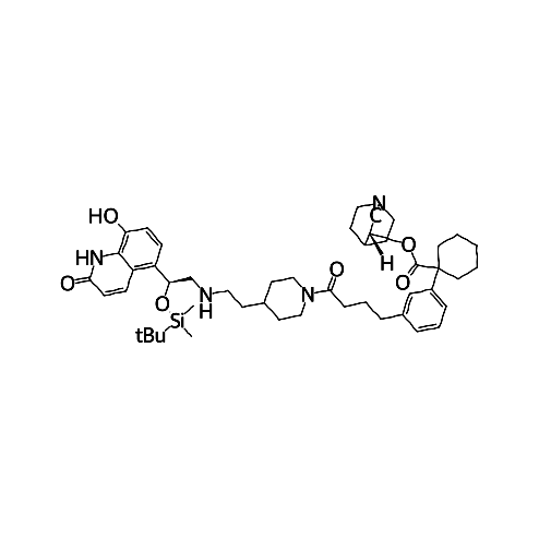 CC(C)(C)[Si](C)(C)O[C@H](CNCCC1CCN(C(=O)CCCc2cccc(C3(C(=O)O[C@H]4CN5CCC4CC5)CCCCC3)c2)CC1)c1ccc(O)c2[nH]c(=O)ccc12